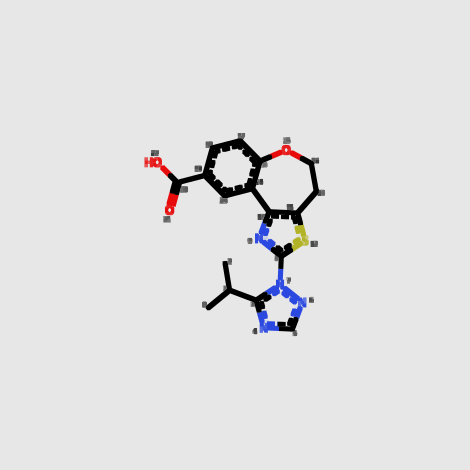 CC(C)c1ncnn1-c1nc2c(s1)CCOc1ccc(C(=O)O)cc1-2